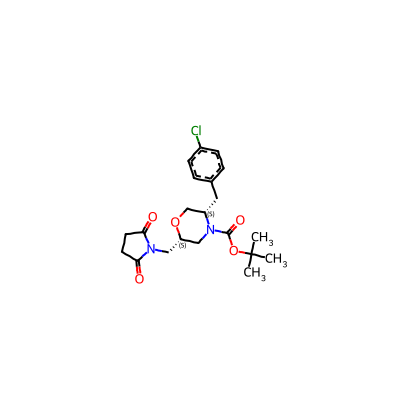 CC(C)(C)OC(=O)N1C[C@H](CN2C(=O)CCC2=O)OC[C@@H]1Cc1ccc(Cl)cc1